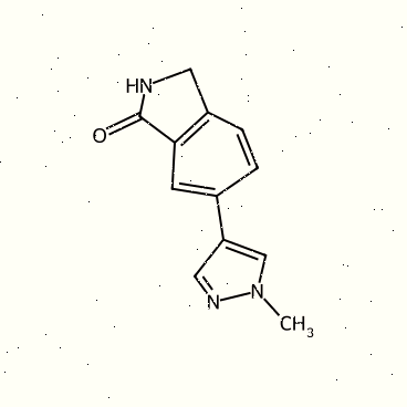 Cn1cc(-c2ccc3c(c2)C(=O)NC3)cn1